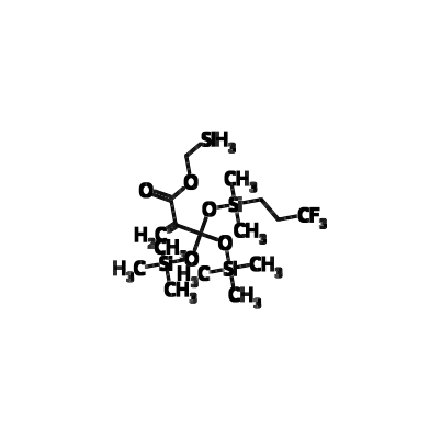 C=C(C(=O)OC[SiH3])C(O[Si](C)(C)C)(O[Si](C)(C)C)O[Si](C)(C)CCC(F)(F)F